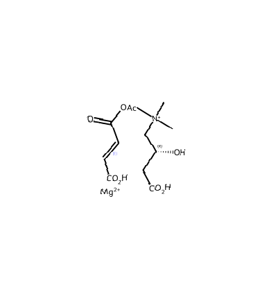 CC(=O)OC(=O)/C=C/C(=O)O.C[N+](C)(C)C[C@H](O)CC(=O)O.[Mg+2]